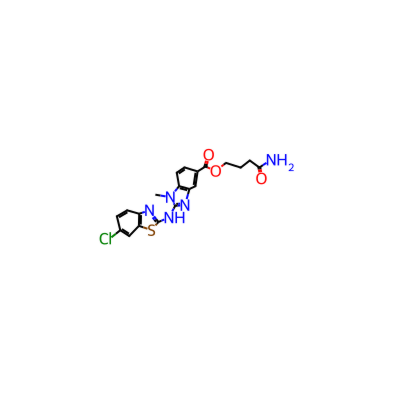 Cn1c(Nc2nc3ccc(Cl)cc3s2)nc2cc(C(=O)OCCCC(N)=O)ccc21